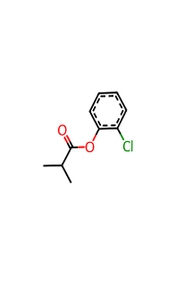 CC(C)C(=O)Oc1ccccc1Cl